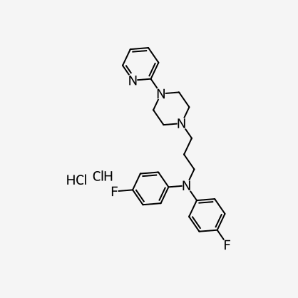 Cl.Cl.Fc1ccc(N(CCCN2CCN(c3ccccn3)CC2)c2ccc(F)cc2)cc1